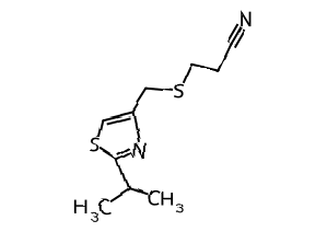 CC(C)c1nc(CSCCC#N)cs1